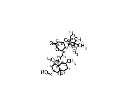 C[C@H]1CC[C@H]2C[C@H](CO)C[C@H](O)[C@@H]2[C@H]1CC[C@@H]1C[C@@H](O[Si](C)(C)C(C)(C)C)CC(=O)O1